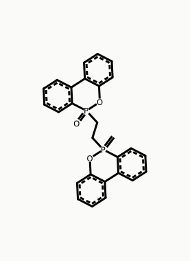 C=P1(CCP2(=O)Oc3ccccc3-c3ccccc32)Oc2ccccc2-c2ccccc21